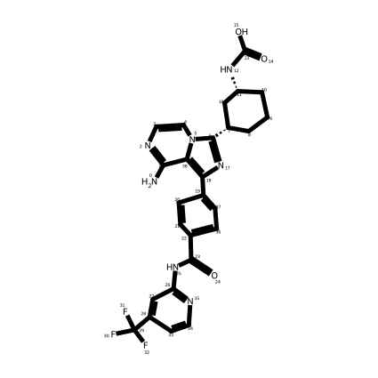 Nc1nccn2c([C@H]3CCC[C@@H](NC(=O)O)C3)nc(-c3ccc(C(=O)Nc4cc(C(F)(F)F)ccn4)cc3)c12